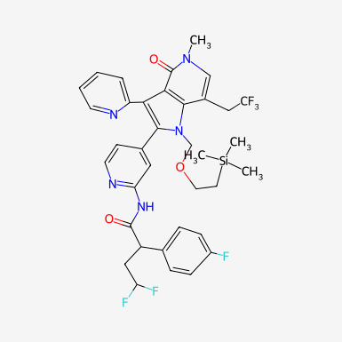 Cn1cc(CC(F)(F)F)c2c(c(-c3ccccn3)c(-c3ccnc(NC(=O)C(CC(F)F)c4ccc(F)cc4)c3)n2COCC[Si](C)(C)C)c1=O